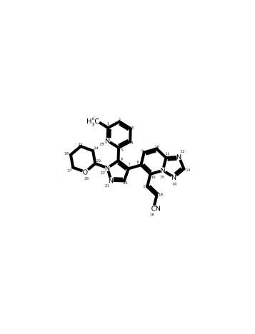 Cc1cccc(-c2c(-c3ccc4ncnn4c3/C=C/C#N)cnn2C2CCCCO2)n1